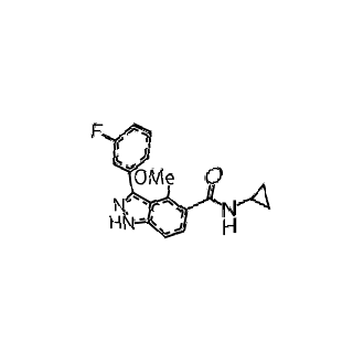 COc1c(C(=O)NC2CC2)ccc2[nH]nc(-c3cccc(F)c3)c12